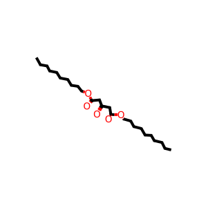 CCCCCCCCCCOC(=O)CC(=O)CC(=O)OCCCCCCCCCC